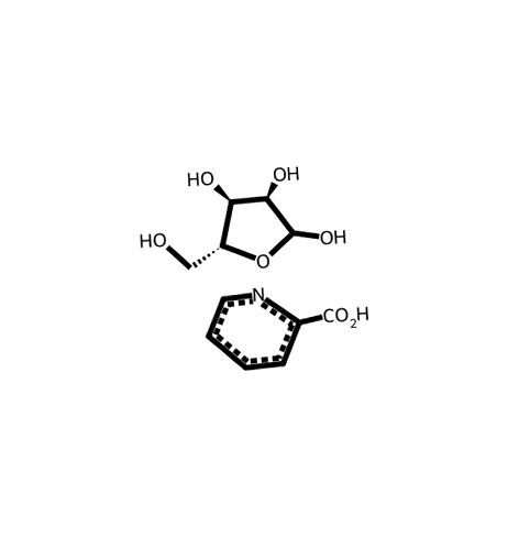 O=C(O)c1ccccn1.OC[C@H]1OC(O)[C@H](O)[C@@H]1O